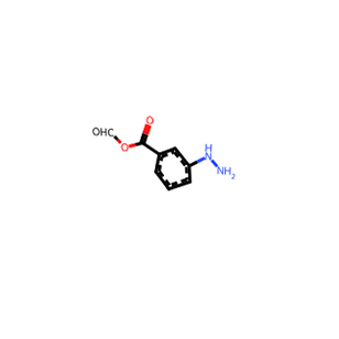 NNc1cccc(C(=O)OC=O)c1